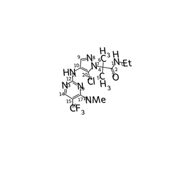 CCNC(=O)C(C)(C)n1ncc(Nc2ncc(C(F)(F)F)c(NC)n2)c1Cl